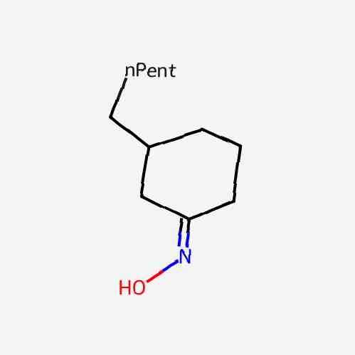 CCCCCCC1CCCC(=NO)C1